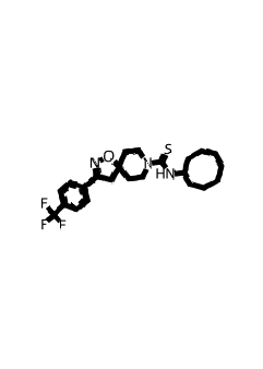 FC(F)(F)c1ccc(C2=NOC3(CCN(C(=S)NC4CCCCCCC4)CC3)C2)cc1